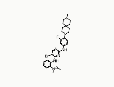 CSN(C)c1ccccc1Nc1nc(Nc2ccc(N3CCC4(CCN(C)CC4)CC3)c(F)c2)ncc1Br